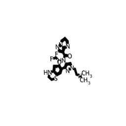 CN(C)CCn1cc(NC(=O)c2cnn3cccnc23)c(-c2cc3c(cc2OC(F)F)NCCS3)n1